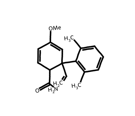 C=CC1(c2c(C)cccc2C)C=C(OC)C=CC1C(N)=O